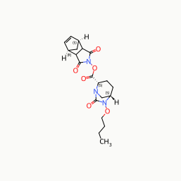 CCCCON1C(=O)N2C[C@@H]1CC[C@H]2C(=O)ON1C(=O)C2C(C1=O)[C@H]1C=C[C@@H]2C1